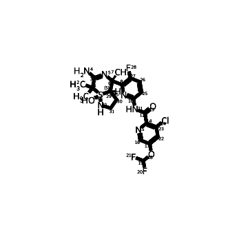 CC1(C)C(N)=N[C@](C)(c2nc(NC(=O)c3ncc(OC(F)F)cc3Cl)ccc2F)[C@@H]2CCNS21O